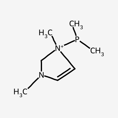 CN1C=C[N+](C)(P(C)C)C1